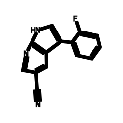 N#Cc1cnc2[nH]cc(-c3ccccc3F)c2c1